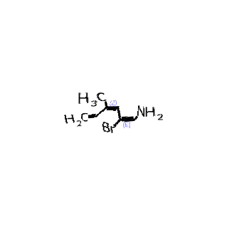 C=C/C(C)=C\C(Br)=C/N